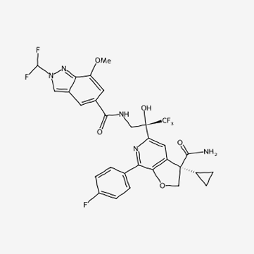 COc1cc(C(=O)NC[C@](O)(c2cc3c(c(-c4ccc(F)cc4)n2)OC[C@@]3(C(N)=O)C2CC2)C(F)(F)F)cc2cn(C(F)F)nc12